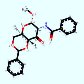 CO[C@H]1O[C@@H]2COC(c3ccccc3)O[C@H]2C(=O)[C@H]1NC(=O)c1ccccc1